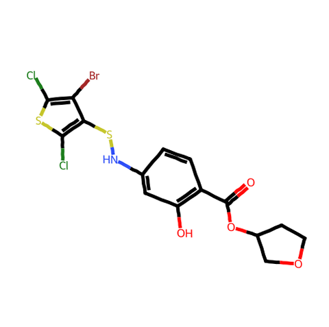 O=C(OC1CCOC1)c1ccc(NSc2c(Cl)sc(Cl)c2Br)cc1O